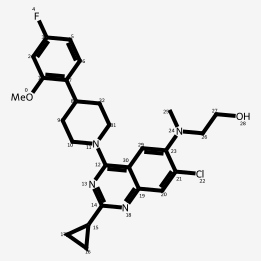 COc1cc(F)ccc1C1CCN(c2nc(C3CC3)nc3cc(Cl)c(N(C)CCO)cc23)CC1